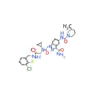 C[C@H]1CCCN(C(=O)Nc2ccc3c(c2)c(C(N)=O)nn3CC(=O)N(CC(=O)NCc2cccc(Cl)c2F)C2CC2)C1